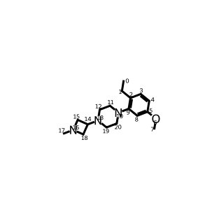 CCc1ccc(OC)cc1N1CCN(C2CN(C)C2)CC1